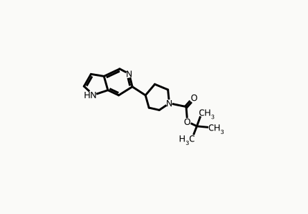 CC(C)(C)OC(=O)N1CCC(c2cc3[nH]ccc3cn2)CC1